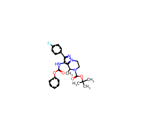 CC1c2c(NC(=O)Oc3ccccc3)c(-c3ccc(F)cc3)nn2CCN1C(=O)OC(C)(C)C